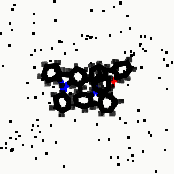 Cc1ccccc1-c1ccc2c3ccccc3n(-c3ccccc3)c2c1-c1cccc2c3ccccc3n(-c3cccc4c3oc3ccccc34)c12